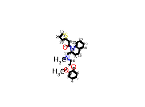 COc1ccccc1OCCN(C)CC1CCc2ccccc2N1C(=O)Cc1cccs1